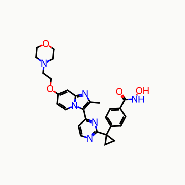 Cc1nc2cc(OCCN3CCOCC3)ccn2c1-c1ccnc(C2(c3ccc(C(=O)NO)cc3)CC2)n1